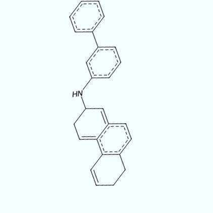 C1=Cc2c(ccc3c2=CCC(Nc2cccc(-c4ccccc4)c2)C=3)CC1